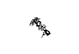 CC(C)(C)S(=O)(=O)NC1CCN(C(=O)Nc2c(F)cccc2F)CC1